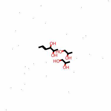 CC(O)CO.CC(O)CO.CC=CC(O)C(C)O